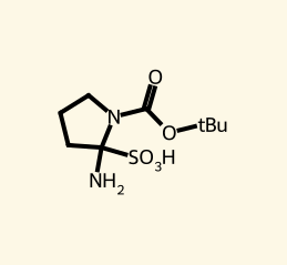 CC(C)(C)OC(=O)N1CCCC1(N)S(=O)(=O)O